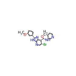 COc1cccc(-c2nc3c(C(=O)Nc4cnccc4C)c(Br)cnc3[nH]2)c1